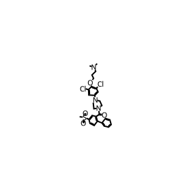 CN(C)CCCOc1c(Cl)cc(N2CCN(C(=O)c3cc(S(C)(=O)=O)ccc3-c3ccccc3)CC2)cc1Cl